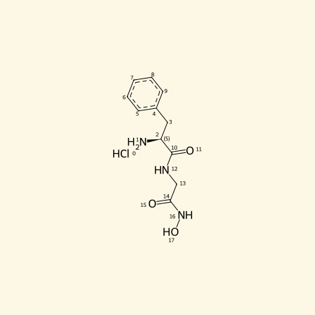 Cl.N[C@@H](Cc1ccccc1)C(=O)NCC(=O)NO